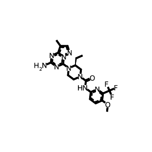 CC[C@H]1CN(C(=O)Nc2ccc(OC)c(C(F)(F)F)n2)CCN1c1nc(N)nc2c(C)cnn12